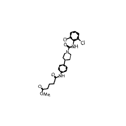 COC(=O)CCCC(=O)Nc1ccc(C2CCN(C(=O)Nc3c(Cl)cccc3Cl)CC2)cc1